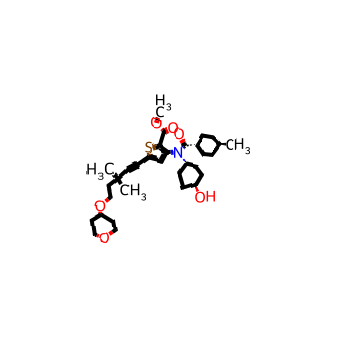 COC(=O)c1sc(C#CC(C)(C)CCOC2CCOCC2)cc1N(C(=O)[C@H]1CC[C@H](C)CC1)[C@H]1CC[C@H](O)CC1